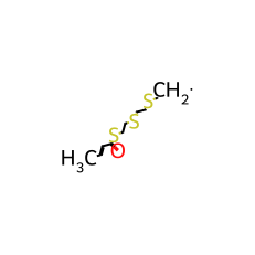 [CH2]CSCCSCCSC(=O)C=CC